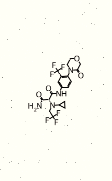 NC(=O)[C@H](C(=O)Nc1ccc(N2CCOCC2=O)c(C(F)(F)F)c1)N(CC(F)(F)F)C1CC1